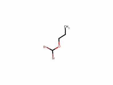 CCCOC(Br)Br